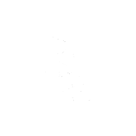 Cc1nn(OC(=O)C(C)(C)C)c2ccc([N+](=O)[O-])cc12